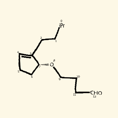 CC(C)CCC1=CCC[C@H]1OCCCC=O